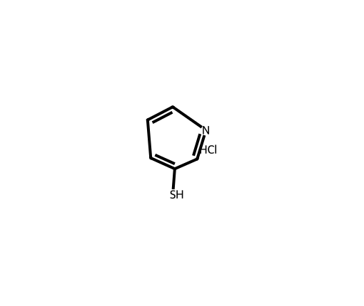 Cl.Sc1cccnc1